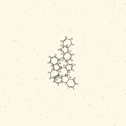 C1=CC2c3ccccc3N(c3cscc3-n3c4c(c5cccc(-c6cccc7c8c(sc67)C=CCC8)c53)CCC=C4)C2C=C1